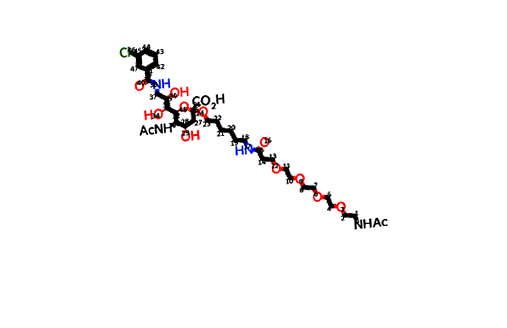 CC(=O)NCCOCCOCCOCCOCCC(=O)NCCCCCCO[C@]1(C(=O)O)C[C@H](O)[C@@H](NC(C)=O)[C@H]([C@H](O)[C@H](O)CNC(=O)c2cccc(Cl)c2)O1